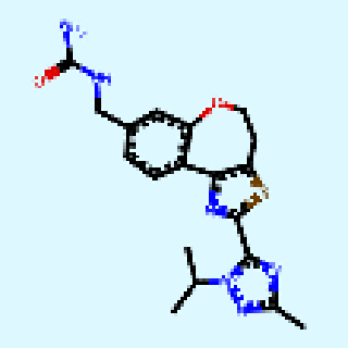 Cc1nc(-c2nc3c(s2)CCOc2cc(CNC(N)=O)ccc2-3)n(C(C)C)n1